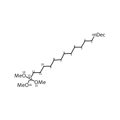 CCCCCCCCCCCCCCCCCCCCCC[Si](OC)(OC)OC